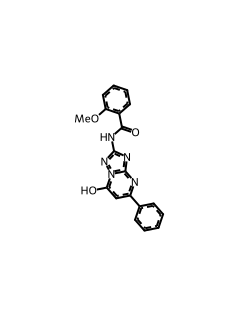 COc1ccccc1C(=O)Nc1nc2nc(-c3ccccc3)cc(O)n2n1